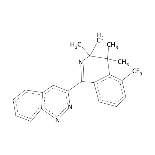 CC1(C)N=C(c2cc3ccccc3nn2)c2cccc(C(F)(F)F)c2C1(C)C